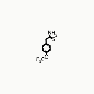 NC(=S)Cc1ccc(OC(F)(F)F)cc1